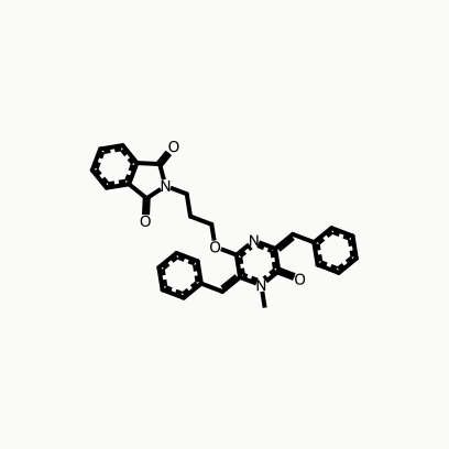 Cn1c(=Cc2ccccc2)c(OCCCN2C(=O)c3ccccc3C2=O)nc(=Cc2ccccc2)c1=O